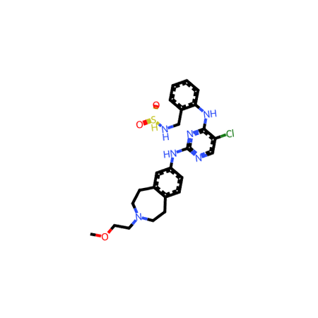 COCCN1CCc2ccc(Nc3ncc(Cl)c(Nc4ccccc4CN[SH](=O)=O)n3)cc2CC1